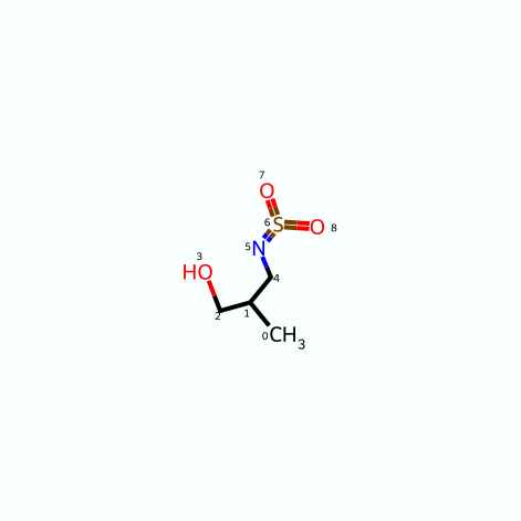 CC(CO)CN=S(=O)=O